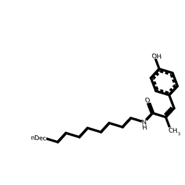 CCCCCCCCCCCCCCCCCCNC(=O)C(C)=Cc1ccc(O)cc1